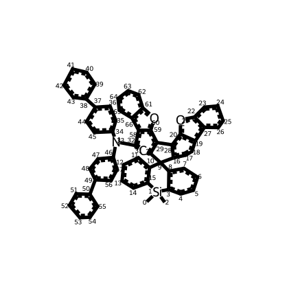 C[Si]1(C)c2ccccc2C2(c3ccccc31)c1ccc3c(oc4ccccc43)c1-c1c2cc(N(c2ccc(-c3ccccc3)cc2)c2ccc(-c3ccccc3)cc2)c2c1oc1ccccc12